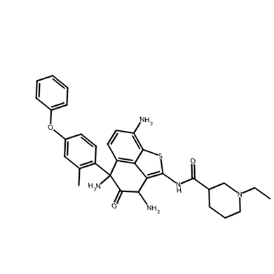 CCN1CCCC(C(=O)Nc2sc3c(N)ccc4c3c2C(N)C(=O)C4(N)c2ccc(Oc3ccccc3)cc2C)C1